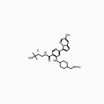 CC(=O)NCC1CCC(Nc2cc(-c3ccc4cc(C#N)cnn34)ncc2C(=O)NC[C@@H](F)C(C)(C)O)CC1